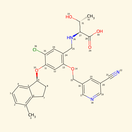 Cc1cccc2c1CC[C@@H]2Oc1cc(OCc2cncc(C#N)c2)c(CN[C@H](C(=O)O)[C@@H](C)O)cc1Cl